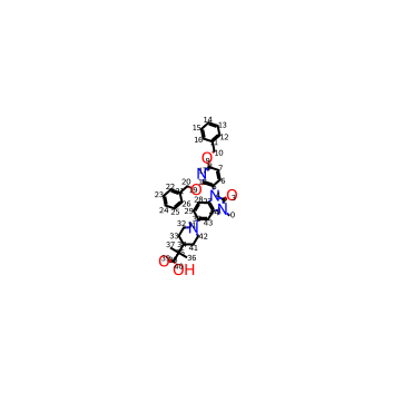 Cn1c(=O)n(-c2ccc(OCc3ccccc3)nc2OCc2ccccc2)c2ccc(N3CCC(C(C)(C)C(=O)O)CC3)cc21